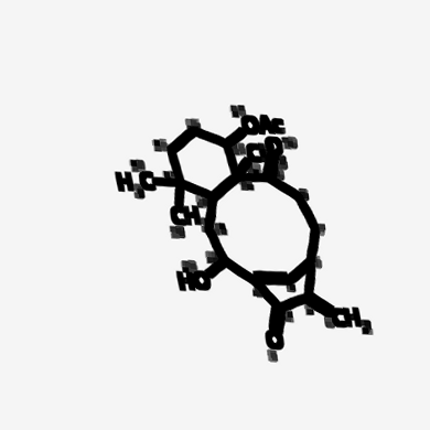 C=C1C(=O)C2=CC1CCC(=O)C1(C)C(OC(C)=O)CCC(C)(C)C1CC2O